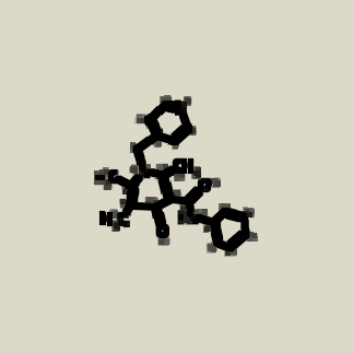 Cc1c(C)n(Cc2ccncc2)c(C)c(C(=O)Nc2ccccc2)c1=O